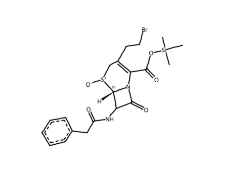 C[Si](C)(C)OC(=O)C1=C(CCBr)C[S+]([O-])[C@H]2C(NC(=O)Cc3ccccc3)C(=O)N12